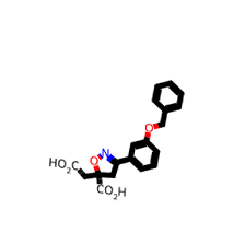 O=C(O)CC1(C(=O)O)CC(c2cccc(OCc3ccccc3)c2)=NO1